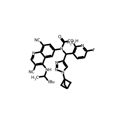 Cc1nc(F)ccc1C(c1cn(C23CC(C2)C3)nn1)N(C(=O)C(=O)O)c1cc(C#N)c2ncc(C#N)c(NC(C)C(C)(C)C)c2c1